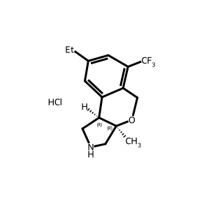 CCc1cc2c(c(C(F)(F)F)c1)CO[C@@]1(C)CNC[C@@H]21.Cl